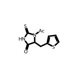 CC(=O)N1C(=S)NC(=O)C1Cc1cccs1